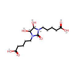 O=C(O)CCCCN1C(=O)N(CCCCC(=O)O)C(O)C1O